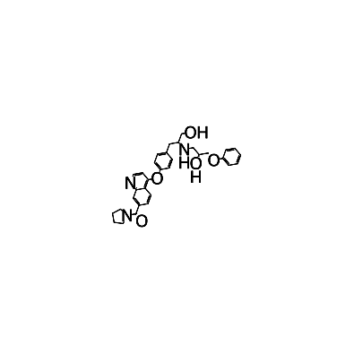 O=C(c1ccc2c(Oc3ccc(CC(CO)NC[C@H](O)COc4ccccc4)cc3)ccnc2c1)N1CCCC1